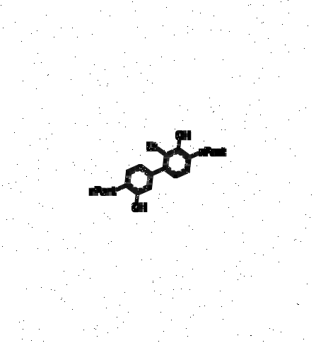 CCCCCc1ccc(-c2ccc(CCCCC)c(O)c2CC)cc1O